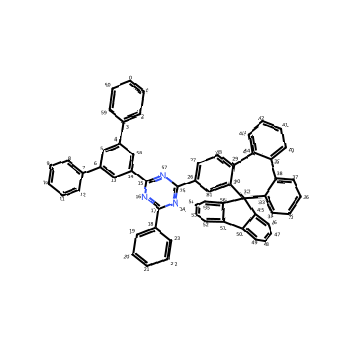 c1ccc(-c2cc(-c3ccccc3)cc(-c3nc(-c4ccccc4)nc(-c4ccc5c(c4)C4(c6ccccc6-c6ccccc6-5)c5ccccc5-c5ccccc54)n3)c2)cc1